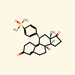 C[C@]12C[C@H](c3ccc(P(C)(C)=O)cc3)C3=C4CCC(=O)C=C4CC[C@H]3[C@@H]1CCC2=O